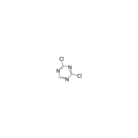 Clc1n[c]nc(Cl)n1